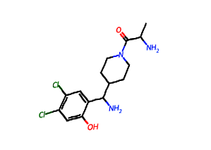 CC(N)C(=O)N1CCC(C(N)c2cc(Cl)c(Cl)cc2O)CC1